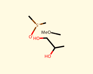 CC(O)CO.COC.C[S+](C)[O-]